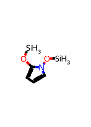 [SiH3]Oc1cccn1O[SiH3]